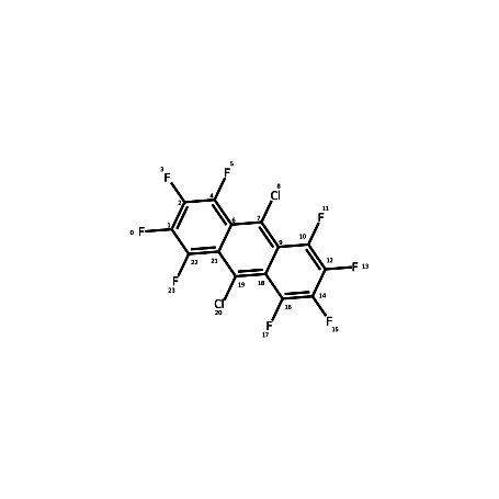 Fc1c(F)c(F)c2c(Cl)c3c(F)c(F)c(F)c(F)c3c(Cl)c2c1F